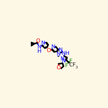 Cn1c(Nc2cc(C(F)(F)C(F)(F)F)n(C3CCOC3)n2)nc2cnc(Oc3ccnc(NC(=O)C4CC4)c3)cc21